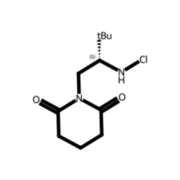 CC(C)(C)[C@@H](CN1C(=O)CCCC1=O)NCl